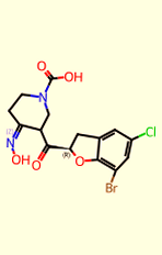 O=C(C1CN(C(=O)O)CC/C1=N/O)[C@H]1Cc2cc(Cl)cc(Br)c2O1